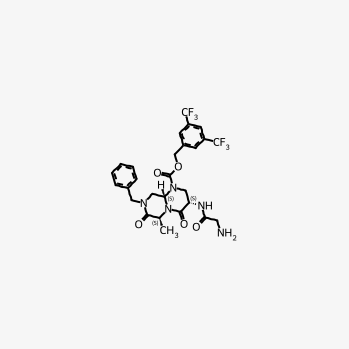 C[C@H]1C(=O)N(Cc2ccccc2)C[C@@H]2N(C(=O)OCc3cc(C(F)(F)F)cc(C(F)(F)F)c3)C[C@H](NC(=O)CN)C(=O)N21